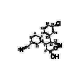 N#Cc1cccc(C(CC(=O)O)C(C#N)c2cccc(Cl)c2)c1